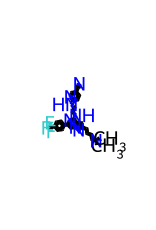 CN(C)CCCCc1cc2c(NCCNc3ccc(C#N)cn3)nc(-c3ccc(C(F)(F)F)cc3)cn2n1